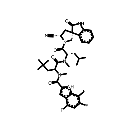 CC(C)C[C@@H](C(=O)N1C[C@]2(C[C@H]1C#N)C(=O)Nc1ccccc12)N(C)C(=O)C(CC(C)(C)C)N(C)C(=O)c1cc2c(F)cc(F)c(F)c2[nH]1